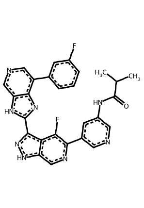 CC(C)C(=O)Nc1cncc(-c2ncc3[nH]nc(-c4nc5c(-c6cccc(F)c6)cncc5[nH]4)c3c2F)c1